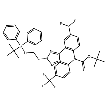 CC(C)(C)OC(=O)N(c1ccc(C(F)(F)F)cc1)c1ccc(C(F)F)cc1-c1nnn(CCO[Si](c2ccccc2)(c2ccccc2)C(C)(C)C)n1